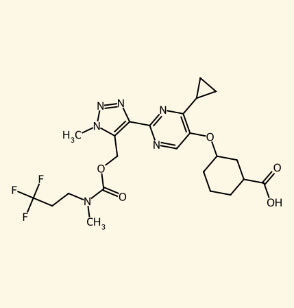 CN(CCC(F)(F)F)C(=O)OCc1c(-c2ncc(OC3CCCC(C(=O)O)C3)c(C3CC3)n2)nnn1C